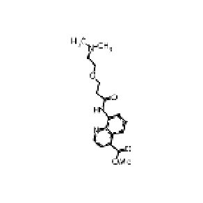 COC(=O)c1ccnc2c(NC(=O)CCOCCN(C)C)cccc12